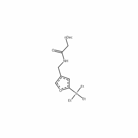 CCCCCCCCCCCC(=O)NCc1coc([Si](CC)(CC)CC)c1